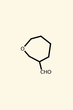 O=[C]C1CCCCOC1